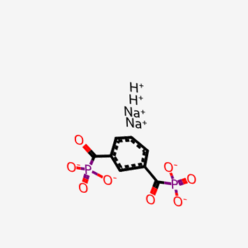 O=C(c1cccc(C(=O)P(=O)([O-])[O-])c1)P(=O)([O-])[O-].[H+].[H+].[Na+].[Na+]